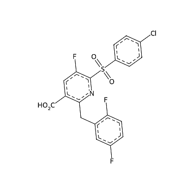 O=C(O)c1cc(F)c(S(=O)(=O)c2ccc(Cl)cc2)nc1Cc1cc(F)ccc1F